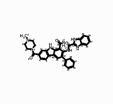 CN1CCN(C(=O)c2ccc3c(c2)[nH]c2c(C(N)=O)c(NC(=O)c4nc5ccccc5[nH]4)c(-c4ccccc4)cc23)CC1